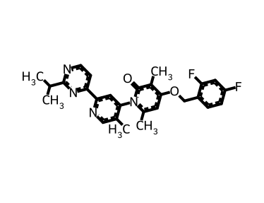 Cc1cnc(-c2ccnc(C(C)C)n2)cc1-n1c(C)cc(OCc2ccc(F)cc2F)c(C)c1=O